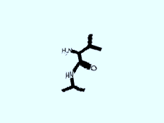 CC(C)NC(=O)C(N)C(C)C